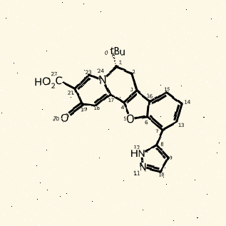 CC(C)(C)[C@@H]1Cc2c(oc3c(-c4ccn[nH]4)cccc23)-c2cc(=O)c(C(=O)O)cn21